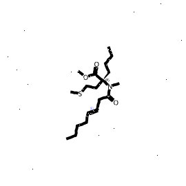 CCCC/C=C/CC(=O)N(C)[C@](CCCC)(CCSC)C(=O)OC